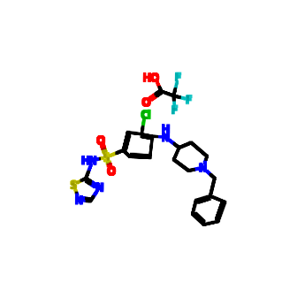 O=C(O)C(F)(F)F.O=S(=O)(Nc1ncns1)c1ccc(NC2CCN(Cc3ccccc3)CC2)c(Cl)c1